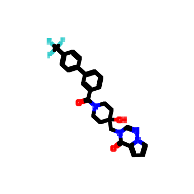 O=C(c1cccc(-c2ccc(C(F)(F)F)cc2)c1)N1CCC(O)(Cn2cnn3cccc3c2=O)CC1